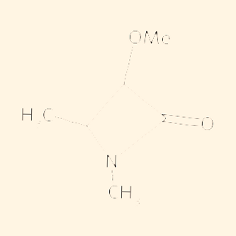 COC1C(=O)N(C)C1C